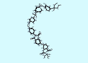 CCCC(C)(CC)c1ccc(Oc2ccc(C(C)(C)c3ccc(Oc4ccc(N5C(=O)c6ccc(-c7ccc8c(c7)C(=O)N(C(C)(CC)CC)C8=O)cc6C5=O)cc4)cc3)cc2)cc1